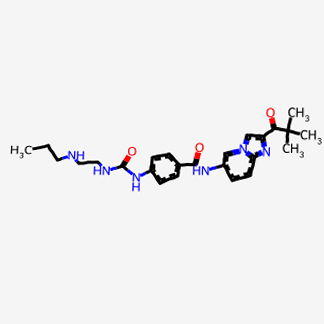 CCCNCCNC(=O)Nc1ccc(C(=O)Nc2ccc3nc(C(=O)C(C)(C)C)cn3c2)cc1